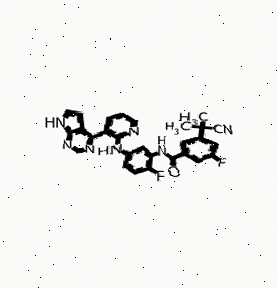 CC(C)(C#N)c1cc(F)cc(C(=O)Nc2cc(Nc3ncccc3-c3ncnc4[nH]ccc34)ccc2F)c1